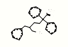 COC(=O)C(CCC(CC#N)Cc1ccccc1)(c1ccccc1)c1ccccc1